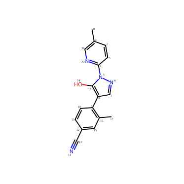 Cc1ccc(-n2ncc(-c3ccc(C#N)cc3C)c2O)nc1